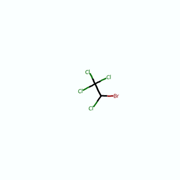 ClC(Br)C(Cl)(Cl)Cl